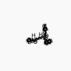 COc1ccc(CNC(=O)/C(=C/CCCCC(=O)NOC2CCCCO2)COc2cccc3ccccc23)cc1